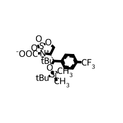 CC(C)(C)[N+]1(C(=O)[O-])[C@@H](C(O[Si](C)(C)C(C)(C)C)c2ccc(C(F)(F)F)cc2)COS1(=O)=O